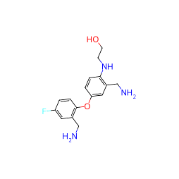 NCc1cc(Oc2ccc(F)cc2CN)ccc1NCCO